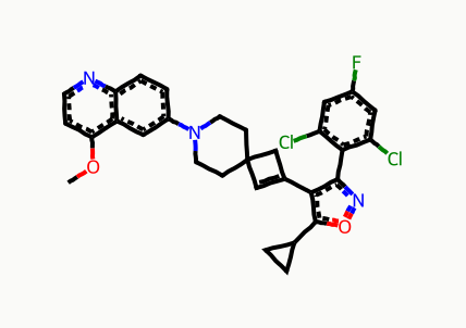 COc1ccnc2ccc(N3CCC4(C=C(c5c(-c6c(Cl)cc(F)cc6Cl)noc5C5CC5)C4)CC3)cc12